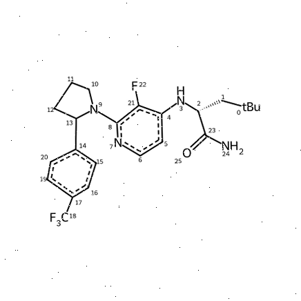 CC(C)(C)C[C@@H](Nc1ccnc(N2CCCC2c2ccc(C(F)(F)F)cc2)c1F)C(N)=O